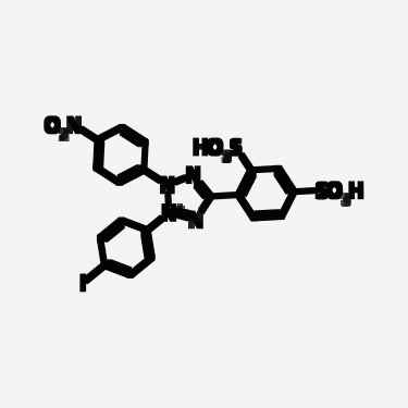 O=[N+]([O-])c1ccc(-n2nc(-c3ccc(S(=O)(=O)O)cc3S(=O)(=O)O)n[n+]2-c2ccc(I)cc2)cc1